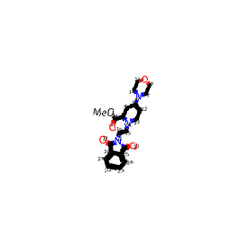 COC(=O)C1CC(N2CCOCC2)CCN1CCN1C(=O)c2ccccc2C1=O